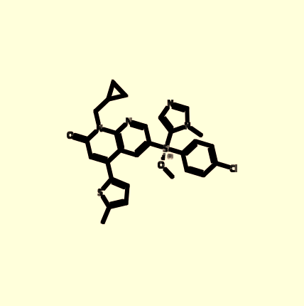 CO[Si@](c1ccc(Cl)cc1)(c1cnc2c(c1)c(-c1ccc(C)s1)cc(=O)n2CC1CC1)c1cncn1C